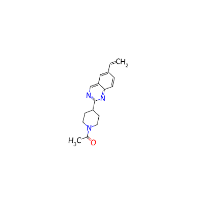 C=Cc1ccc2nc(C3CCN(C(C)=O)CC3)ncc2c1